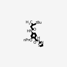 CCCOc1cc(NC(=O)CC(C)CC(C)(C)C)ccc1C(=O)Nc1nccs1